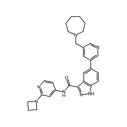 O=C(Nc1ccnc(N2CCC2)c1)c1n[nH]c2ccc(-c3cncc(CN4CCCCCC4)c3)cc12